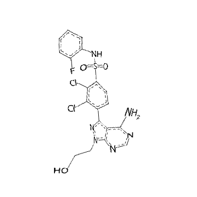 Nc1ncnc2c1c(-c1ccc(S(=O)(=O)Nc3ccccc3F)c(Cl)c1Cl)nn2CCO